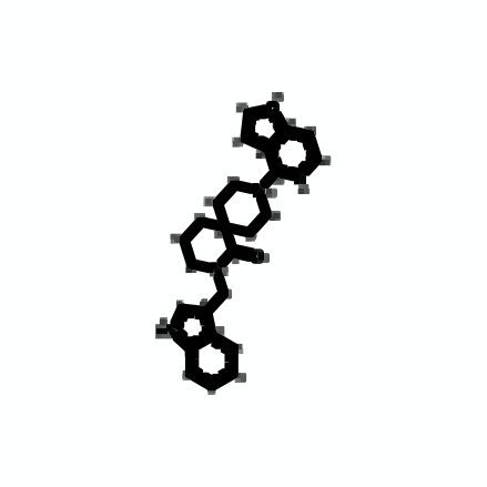 O=C1N(Cc2c[nH]c3ccccc23)CCCC12CCN(c1nccc3occc13)CC2